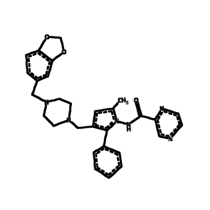 Cc1cc(CN2CCN(Cc3ccc4c(c3)OCO4)CC2)c(-c2ccccc2)n1NC(=O)c1cnccn1